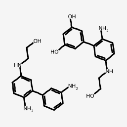 Nc1ccc(NCCO)cc1-c1cc(O)cc(O)c1.Nc1cccc(-c2cc(NCCO)ccc2N)c1